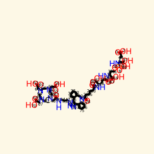 O=C(O)CC[C@H](NP(=O)(O)OCCC(NC(=O)CC[C@@H](NC(=O)CCCCC(=O)N1Cc2ccccc2-c2c(nnn2CCCNC(=O)CN2CCN(CC(=O)O)CCN(CC(=O)O)CCN(CC(=O)O)CC2)-c2ccccc21)C(=O)O)C(=O)O)C(=O)O